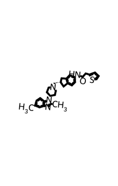 Cc1ccc2c(c1)nc(C)n2C1CCN(C[C@H]2Cc3ccc(NC(=O)Cc4cccs4)cc3C2)CC1